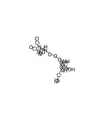 CC[C@@H](C(=O)NCCOCCOCCOCC(=O)N[C@H](C(=O)N1C[C@H](O)C[C@H]1C(=O)NCc1ccc(-c2scnc2C)cc1)C(C)(C)C)[C@@H]1N=C(c2ccc(Cl)cc2)c2cc(OC)ccc2-n2c(C)nnc21